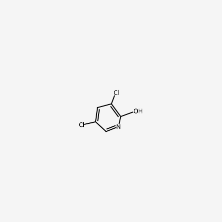 Oc1ncc(Cl)cc1Cl